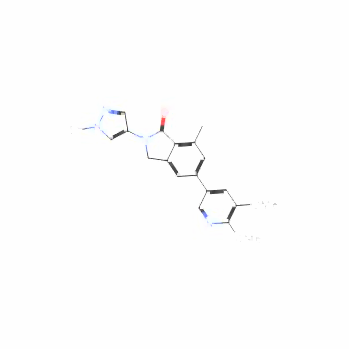 CCn1cc(N2Cc3cc(-c4cnc(OC)c(OC)c4)cc(C)c3C2=O)cn1